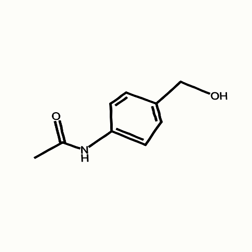 CC(=O)Nc1ccc(CO)cc1